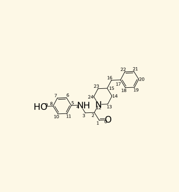 O=CC(CNc1ccc(O)cc1)N1CCC(Cc2ccccc2)CC1